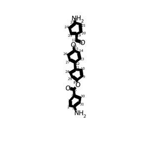 Nc1ccc(C(=O)Oc2ccc(-c3ccc(OC(=O)c4ccc(N)cc4)cc3)cc2)cc1